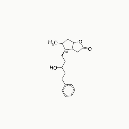 CC1CC2OC(=O)CC2[C@H]1CCC(O)CCc1ccccc1